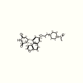 C[S+]([O-])N1CCN(CCOc2ccc3c(ccc4occ([C@H]5CCC(=O)NC5=O)c43)c2)CC1